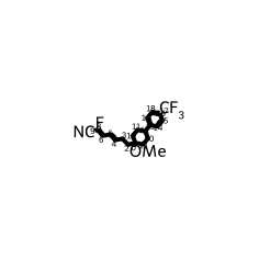 COC1(CCC=CC=C(F)C#N)CCC(c2ccc(C(F)(F)F)cc2)CC1